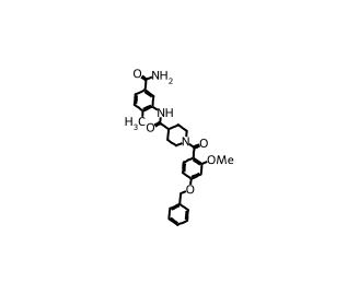 COc1cc(OCc2ccccc2)ccc1C(=O)N1CCC(C(=O)Nc2cc(C(N)=O)ccc2C)CC1